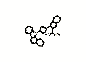 CCCC(=N)c1cc2ccccc2cc1-c1ccc(-n2c3ccccc3c3ccc4ccccc4c32)cc1